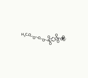 CCOCCOCCOCCOCCn1c(=O)c2cc3c(=O)n(CO[N+](=O)[O-])c(=O)c3cc2c1=O